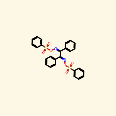 O=S(=O)(ON=C(C(=NOS(=O)(=O)c1ccccc1)c1ccccc1)c1ccccc1)c1ccccc1